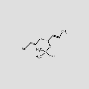 C/C=C/[C@@H](C/C=C/C(C)=O)O[Si](C)(C)C(C)(C)C